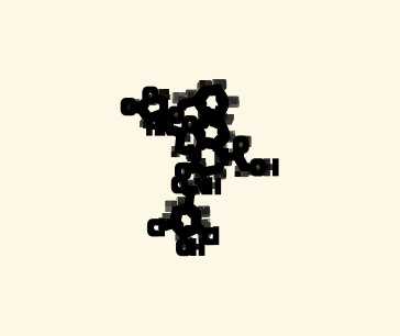 O=C(CN1C(=O)[C@@H](NC(=O)c2cc(Cl)c(O)c(Cl)c2)CN(C(=O)CO)c2ccccc21)N[C@@]1(OCc2ccccc2)COC(=O)C1